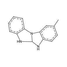 Cc1ccc2c(c1)N1c3ccccc3NC1N2